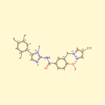 COc1ccc(C(=O)Nc2ncc(-c3cc(C)c(C)cc3C)n2C)cc1Cn1cc(Cl)cn1